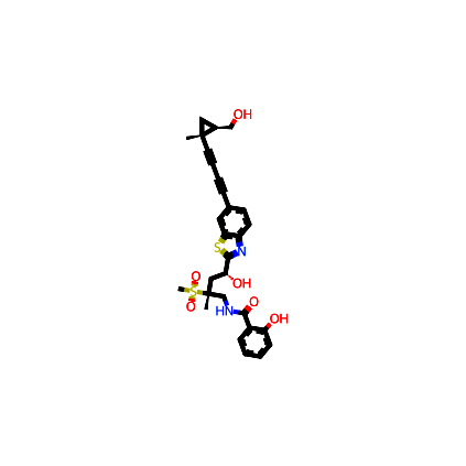 C[C@](CNC(=O)c1ccccc1O)(C[C@@H](O)c1nc2ccc(C#CC#C[C@]3(C)C[C@H]3CO)cc2s1)S(C)(=O)=O